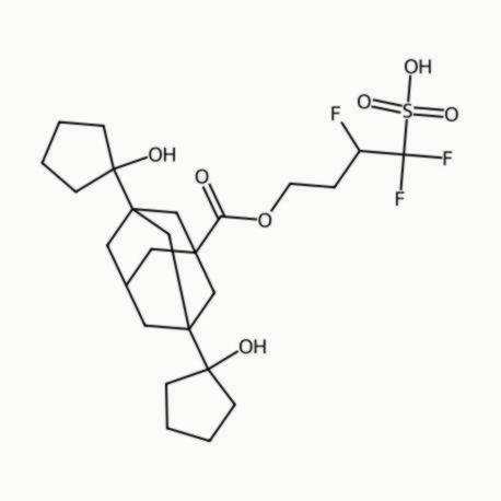 O=C(OCCC(F)C(F)(F)S(=O)(=O)O)C12CC3CC(C4(O)CCCC4)(C1)CC(C1(O)CCCC1)(C3)C2